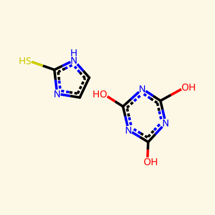 Oc1nc(O)nc(O)n1.Sc1ncc[nH]1